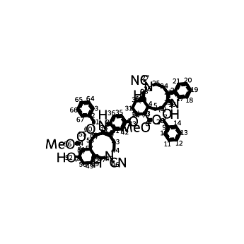 COC(=O)[C@@H]1C2C[C@@H](OCc3ccccc3)c3[nH]c4ccccc4c3CCN(C#N)C[C@@H]2CC[C@@H]1Oc1ccc2[nH]c3c(c2c1)CCN(C#N)C[C@@H]1CC[C@H](O)[C@H](C(=O)OC)C1C[C@@H]3OCc1ccccc1